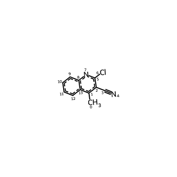 Cc1c(C#N)c(Cl)nc2ccccc12